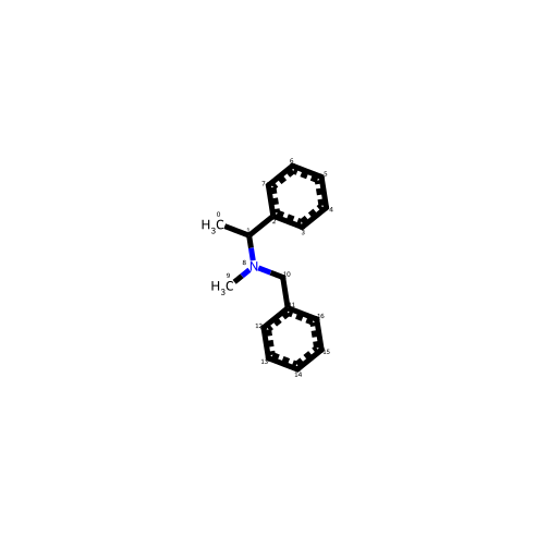 CC(c1ccccc1)N(C)Cc1ccccc1